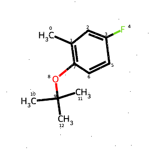 Cc1cc(F)ccc1OC(C)(C)C